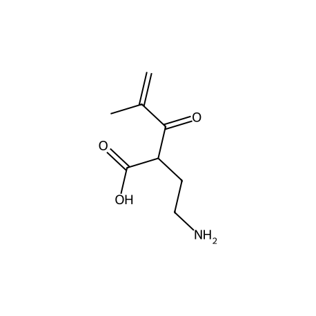 C=C(C)C(=O)C(CCN)C(=O)O